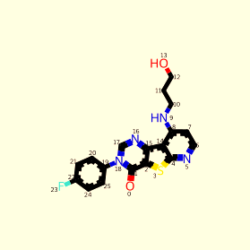 O=c1c2sc3nccc(NCCCO)c3c2ncn1-c1ccc(F)cc1